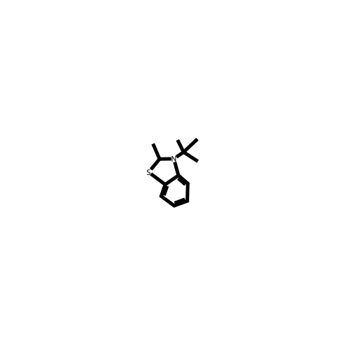 CC1Sc2ccccc2N1C(C)(C)C